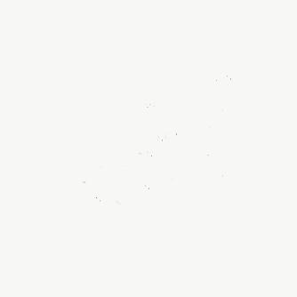 COc1cc(C#N)ccc1-c1nnc(NC2CCCN(C(=O)O)C2)c2cc(C)ccc12